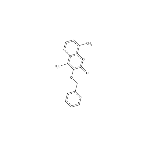 Cc1c(OCc2ccccc2)c(=O)oc2c(C)cccc12